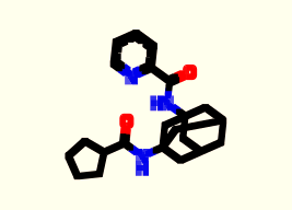 O=C(NC12CC3CC(C1)CC(NC(=O)C1CCCC1)(C3)C2)c1ccccn1